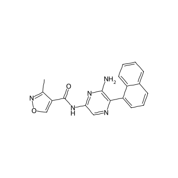 Cc1nocc1C(=O)Nc1cnc(-c2cccc3ccccc23)c(N)n1